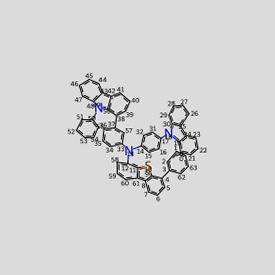 c1ccc(-c2cccc3c2sc2c(N(c4ccc(-n5c6ccccc6c6ccccc65)cc4)c4cccc(-c5cccc6c7ccccc7n(-c7ccccc7)c56)c4)cccc23)cc1